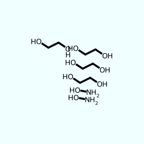 NO.NO.OCCO.OCCO.OCCO.OCCO